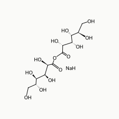 O=C(OC(=O)[C@H](O)[C@@H](O)[C@H](O)[C@H](O)CO)[C@H](O)[C@@H](O)[C@H](O)[C@H](O)CO.[NaH]